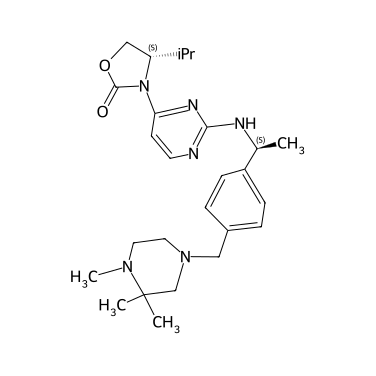 CC(C)[C@H]1COC(=O)N1c1ccnc(N[C@@H](C)c2ccc(CN3CCN(C)C(C)(C)C3)cc2)n1